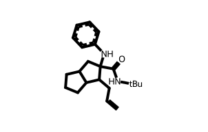 C=CCC1C2CCCC2CC1(Nc1ccccc1)C(=O)NC(C)(C)C